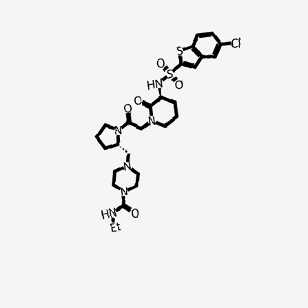 CCNC(=O)N1CCN(C[C@@H]2CCCN2C(=O)CN2CCC[C@H](NS(=O)(=O)c3cc4cc(Cl)ccc4s3)C2=O)CC1